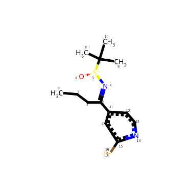 CCC/C(=N\[S@+]([O-])C(C)(C)C)c1ccnc(Br)c1